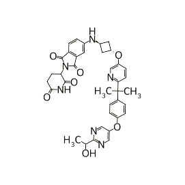 CC(O)c1ncc(Oc2ccc(C(C)(C)c3ccc(O[C@H]4C[C@H](Nc5ccc6c(c5)C(=O)N(C5CCC(=O)NC5=O)C6=O)C4)cn3)cc2)cn1